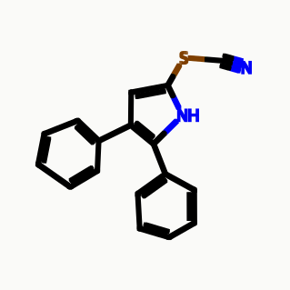 N#CSc1cc(-c2ccccc2)c(-c2ccccc2)[nH]1